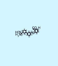 C[C@@](N)(CO)c1cccc(-c2cccc(COc3ccccc3CC(=O)O)c2)c1